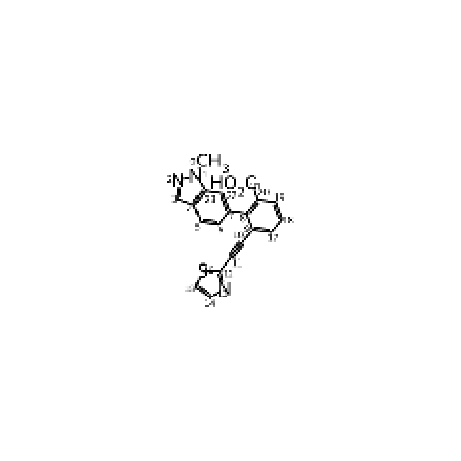 Cn1ncc2ccc(-c3c(C#Cc4nccs4)cccc3C(=O)O)cc21